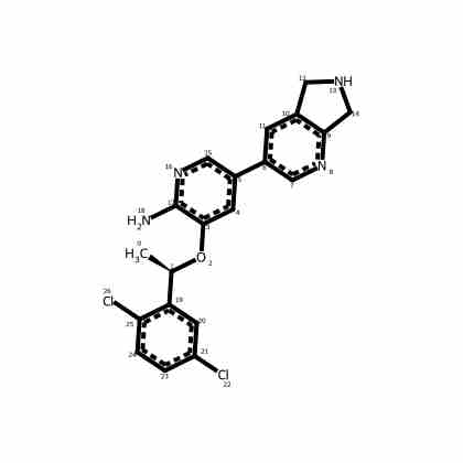 C[C@@H](Oc1cc(-c2cnc3c(c2)CNC3)cnc1N)c1cc(Cl)ccc1Cl